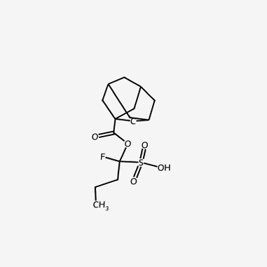 CCCC(F)(OC(=O)C12CC3CC(CC(C3)C1)C2)S(=O)(=O)O